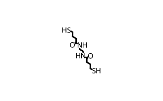 O=C(CCCS)NCCNC(=O)CCCS